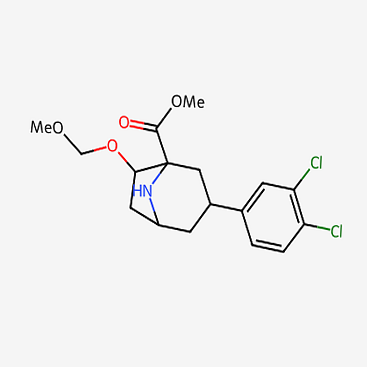 COCOC1CC2CC(c3ccc(Cl)c(Cl)c3)CC1(C(=O)OC)N2